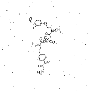 CN(CCOc1ccc(C=O)c(F)c1)C(=O)CC(C)(C)CC(=O)N(C)CCc1ccc(NC(=O)CN)cc1